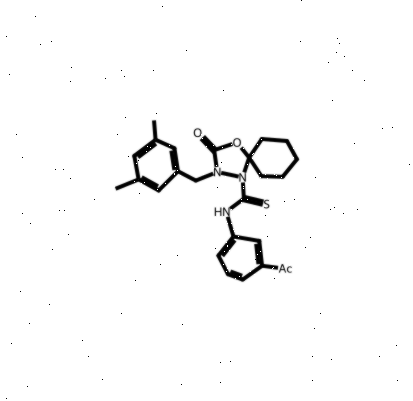 CC(=O)c1cccc(NC(=S)N2N(Cc3cc(C)cc(C)c3)C(=O)OC23CCCCC3)c1